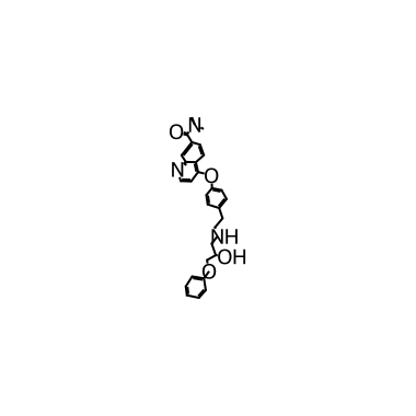 CN(C)C(=O)c1ccc2c(Oc3ccc(CCNCC(O)COc4ccccc4)cc3)ccnc2c1